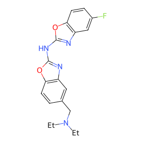 CCN(CC)Cc1ccc2oc(Nc3nc4cc(F)ccc4o3)nc2c1